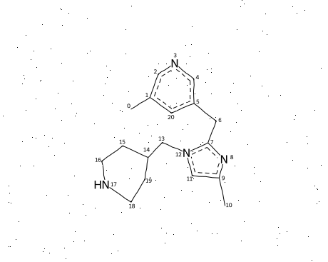 Cc1cncc(Cc2nc(C)cn2CC2CCNCC2)c1